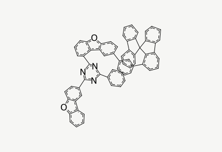 c1ccc(-c2nc(-c3ccc4oc5ccccc5c4c3)nc(-c3cccc4oc5ccc(-c6cccc(-c7cccc8c7C7(c9ccccc9-c9ccccc97)c7ccccc7-8)c6)cc5c34)n2)cc1